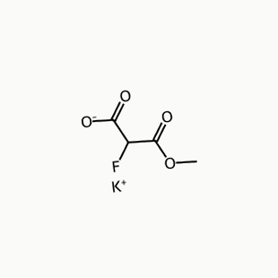 COC(=O)C(F)C(=O)[O-].[K+]